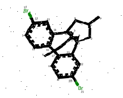 CC1C[C@]23CC(C)C[C@@]2(C1)c1cc(Br)ccc1-c1ccc(Br)cc13